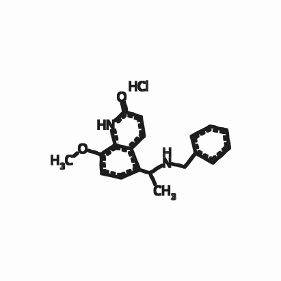 COc1ccc(C(C)NCc2ccccc2)c2ccc(=O)[nH]c12.Cl